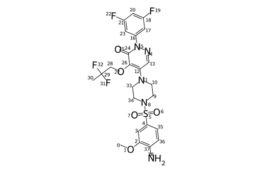 COc1cc(S(=O)(=O)N2CCN(c3cnn(-c4cc(F)cc(F)c4)c(=O)c3OCC(C)(F)F)CC2)ccc1N